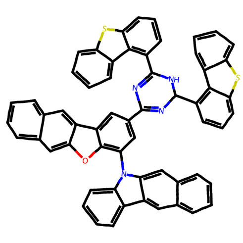 c1ccc2cc3c(cc2c1)oc1c(-n2c4ccccc4c4cc5ccccc5cc42)cc(C2=NC(c4cccc5sc6ccccc6c45)NC(c4cccc5sc6ccccc6c45)=N2)cc13